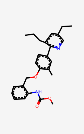 CCCc1cc(CC)cnc1-c1ccc(OCc2ccccc2NC(=O)OC)c(C)c1